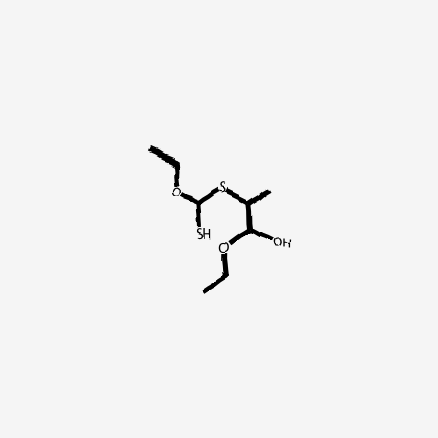 CCOC(S)SC(C)C(O)OCC